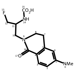 CNc1ccc2c(c1)CCN(CC(CF)NC(=O)O)C2=O